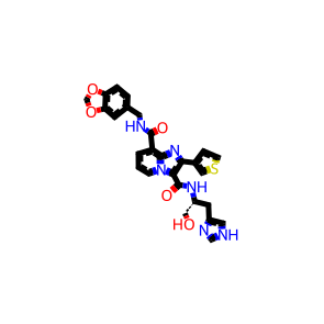 O=C(NCc1ccc2c(c1)OCO2)c1cccn2c(C(=O)N[C@@H](CO)Cc3c[nH]cn3)c(-c3ccsc3)nc12